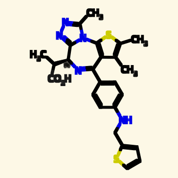 Cc1sc2c(c1C)C(c1ccc(NCc3cccs3)cc1)=N[C@@H](C(C)C(=O)O)c1nnc(C)n1-2